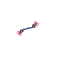 O=[N+]([O-])c1ccc(/C=C/C=C/C=C/C=C/c2ccc([N+](=O)[O-])cc2)cc1